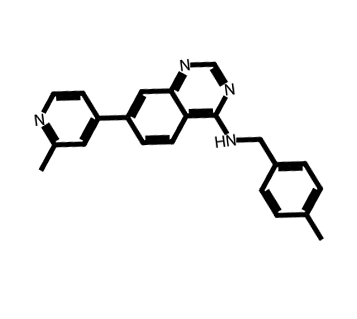 Cc1ccc(CNc2ncnc3cc(-c4ccnc(C)c4)ccc23)cc1